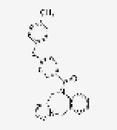 Cc1ccc(Sc2ccc(C(=O)N3Cc4cccn4Cc4ccccc43)cc2)cc1